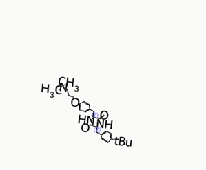 CN(C)CCCOc1ccc(/C=c2\[nH]c(=O)/c(=C/c3ccc(C(C)(C)C)cc3)[nH]c2=O)cc1